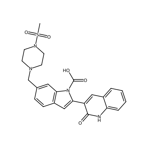 CS(=O)(=O)N1CCN(Cc2ccc3cc(-c4cc5ccccc5[nH]c4=O)n(C(=O)O)c3c2)CC1